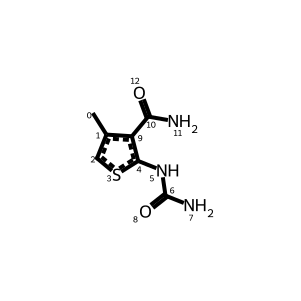 Cc1csc(NC(N)=O)c1C(N)=O